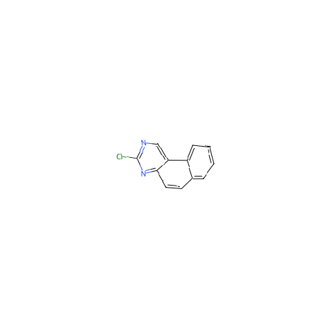 Clc1ncc2c(ccc3ccccc32)n1